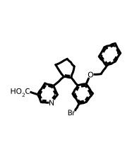 O=C(O)c1cncc(C2=C(c3cc(Br)ccc3OCc3ccccc3)CCC2)c1